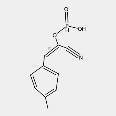 Cc1ccc(/C=C(\C#N)O[PH](=O)O)cc1